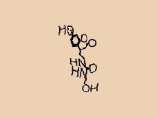 O=C(NCCO)NCCC1CC(=O)Oc2cc(O)ccc21